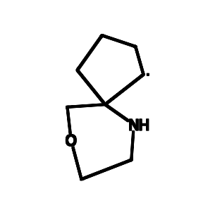 [CH]1CCCC12COCCN2